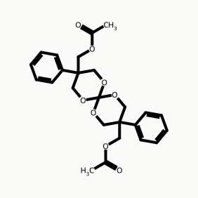 CC(=O)OCC1(c2ccccc2)COC2(OC1)OCC(COC(C)=O)(c1ccccc1)CO2